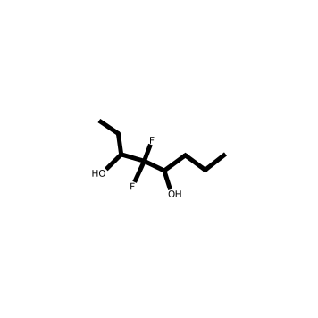 CCCC(O)C(F)(F)C(O)CC